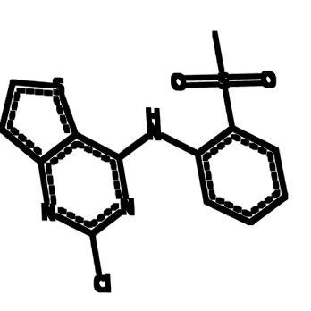 CS(=O)(=O)c1ccccc1Nc1nc(Cl)nc2ccsc12